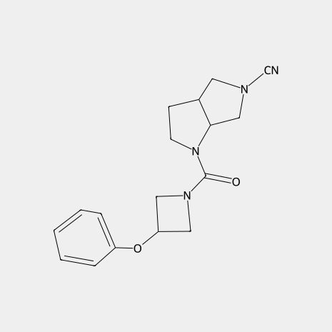 N#CN1CC2CCN(C(=O)N3CC(Oc4ccccc4)C3)C2C1